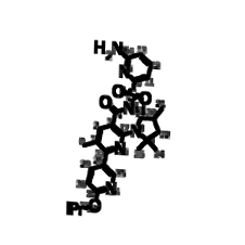 Cc1cc(C(=O)NS(=O)(=O)c2cccc(N)n2)c(N2CC(C)CC2(C)C)nc1-c1ccc(OC(C)C)nc1